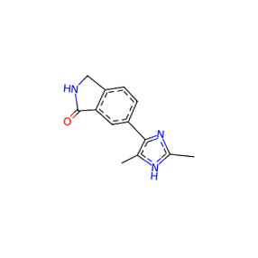 Cc1nc(-c2ccc3c(c2)C(=O)NC3)c(C)[nH]1